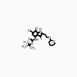 CC(C)(C)OC(=O)Nc1cc(Cl)c(Cl)c2[nH]c(CCOC3CCCCO3)c(I)c12